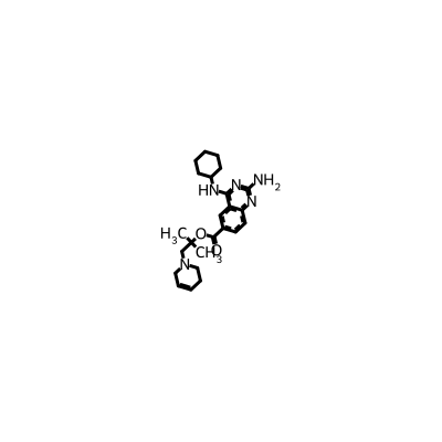 CC(C)(CN1CC=CCC1)OC(=O)c1ccc2nc(N)nc(NC3CCCCC3)c2c1